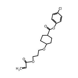 C=CC(=O)OCCCOC1CCC(C(=O)Oc2ccc(Cl)cc2)CC1